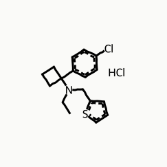 CCN(Cc1cccs1)C1(c2ccc(Cl)cc2)CCC1.Cl